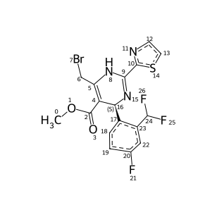 COC(=O)C1=C(CBr)NC(c2nccs2)=N[C@H]1c1ccc(F)cc1C(F)F